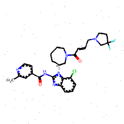 Cc1cc(C(=O)Nc2nc3cccc(Cl)c3n2[C@@H]2CCCCN(C(=O)/C=C/CN3CCC(F)(F)C3)C2)ccn1